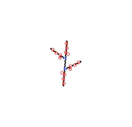 C=COCCOCCOC(=O)CCN(CCCCCCN(CCC(=O)OCCOCCOC=C)CCC(=O)OCCOCCOC=C)CCC(=O)OCCOCCOC=C